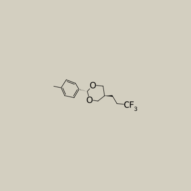 Cc1ccc([C@H]2OC[C@H](CCC(F)(F)F)CO2)cc1